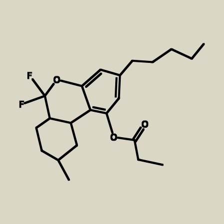 CCCCCc1cc(OC(=O)CC)c2c(c1)OC(F)(F)C1CCC(C)CC21